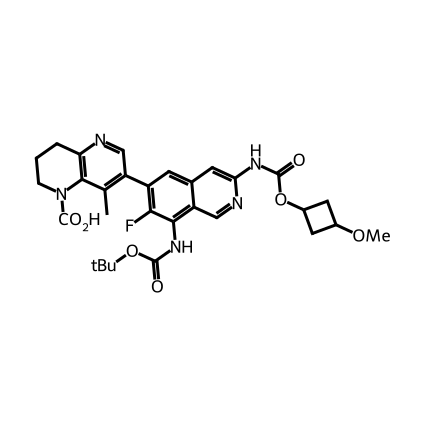 COC1CC(OC(=O)Nc2cc3cc(-c4cnc5c(c4C)N(C(=O)O)CCC5)c(F)c(NC(=O)OC(C)(C)C)c3cn2)C1